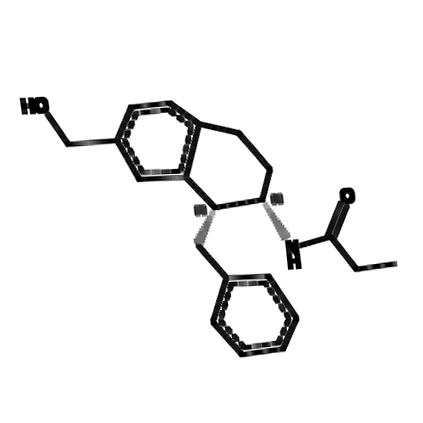 CCC(=O)N[C@H]1CCc2ccc(CO)cc2[C@H]1Cc1ccccc1